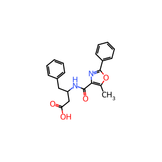 Cc1oc(-c2ccccc2)nc1C(=O)NC(CC(=O)O)Cc1ccccc1